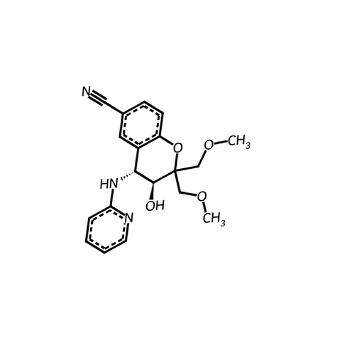 COCC1(COC)Oc2ccc(C#N)cc2[C@@H](Nc2ccccn2)[C@@H]1O